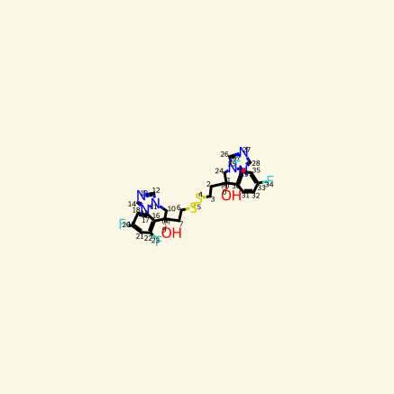 O[C@@](CCSSCC[C@](O)(Cn1cncn1)c1ccc(F)cc1F)(Cn1cncn1)c1ccc(F)cc1F